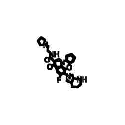 O=C(NCCN1CCCC1)c1cn2c3c(c(N4CC5CCCNC5C4)c(F)cc3c1=O)Oc1ccccc1-2